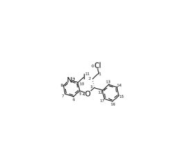 ClCC[C@@H](Oc1cccnc1I)c1ccccc1